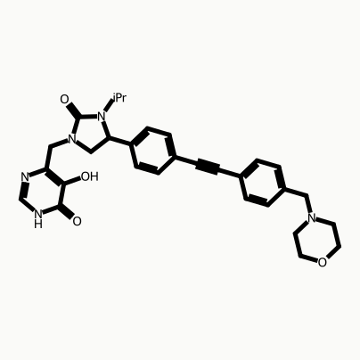 CC(C)N1C(=O)N(Cc2nc[nH]c(=O)c2O)CC1c1ccc(C#Cc2ccc(CN3CCOCC3)cc2)cc1